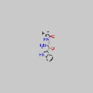 CC(=O)NCC(N)C(=O)c1c[nH]c2ccccc12